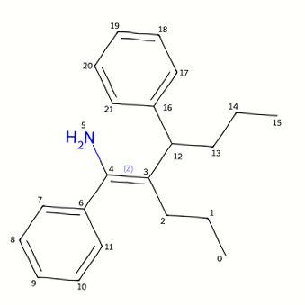 CCC/C(=C(/N)c1ccccc1)C(CCC)c1ccccc1